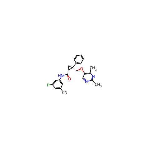 Cc1ncc(OC[C@@]2(c3ccccc3)C[C@H]2C(=O)Nc2cc(F)cc(C#N)c2)c(C)n1